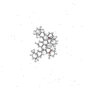 Cc1cc2c3c(c1)N(c1cc4c(cc1-c1ccccc1)C(C)(C)CCC4(C)C)c1oc4c(c1B3c1cc3c(cc1N2c1ccc2c(c1)C(C)(C)CCC2(C)C)C1(C)CCC3(C)CC1)C(C)(C)CCC4(C)C